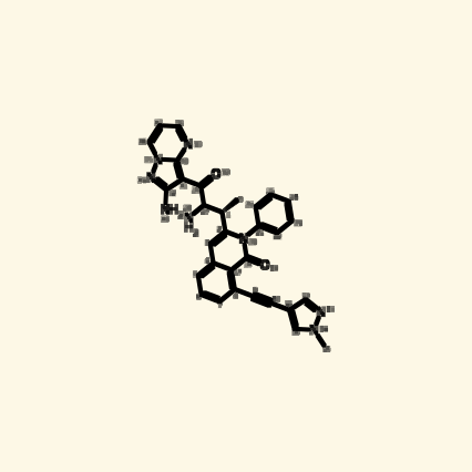 C[C@@H](c1cc2cccc(C#Cc3cnn(C)c3)c2c(=O)n1-c1ccccc1)C(N)C(=O)c1c(N)nn2cccnc12